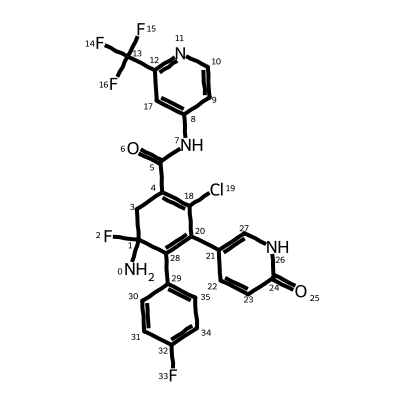 NC1(F)CC(C(=O)Nc2ccnc(C(F)(F)F)c2)=C(Cl)C(c2ccc(=O)[nH]c2)=C1c1ccc(F)cc1